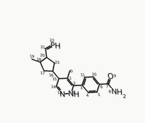 CC1=C(c2ccc(C(N)=O)cc2)NN=CC1C1CC(C)C(C=P)C1